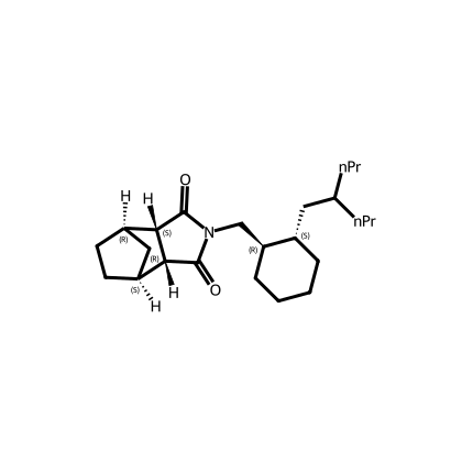 CCCC(CCC)C[C@@H]1CCCC[C@H]1CN1C(=O)[C@@H]2[C@H]3CC[C@H](C3)[C@@H]2C1=O